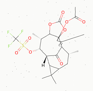 CC(=O)OC1C(C)=C[C@@]23C(=O)[C@H](C4C(C[C@H]2C)C4(C)C)[C@H](OS(=O)(=O)C(F)(F)F)[C@H](C)C2OC(=O)OC123